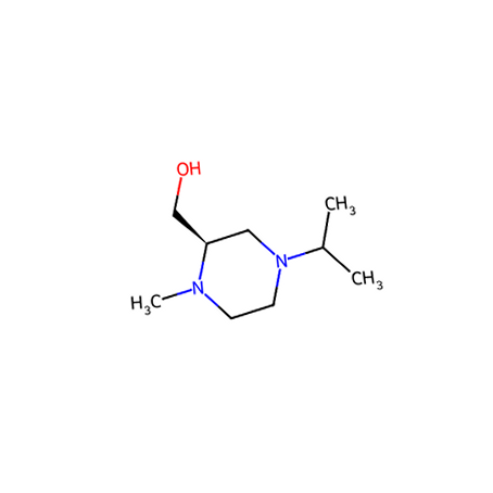 CC(C)N1CCN(C)[C@@H](CO)C1